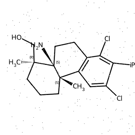 CC(C)c1c(Cl)cc2c(c1Cl)CC[C@@]1(N)[C@](C)(CO)CCC[C@@]21C